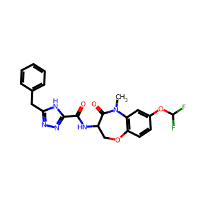 CN1C(=O)C(NC(=O)c2nnc(Cc3ccccc3)[nH]2)COc2ccc(OC(F)F)cc21